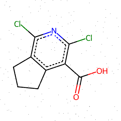 O=C(O)c1c(Cl)nc(Cl)c2c1CCC2